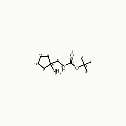 CC(C)(C)OC(=O)NCC1(N)CCCC1